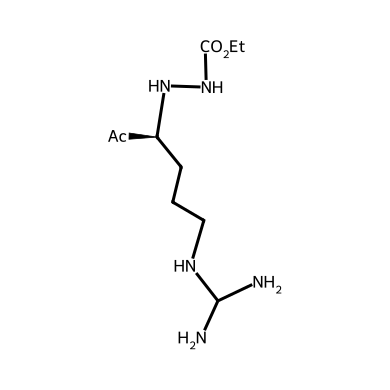 CCOC(=O)NN[C@@H](CCCNC(N)N)C(C)=O